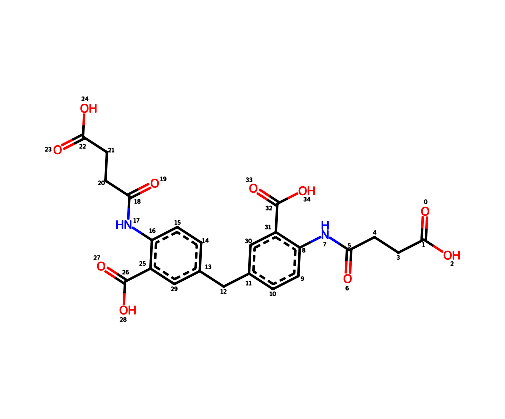 O=C(O)CCC(=O)Nc1ccc(Cc2ccc(NC(=O)CCC(=O)O)c(C(=O)O)c2)cc1C(=O)O